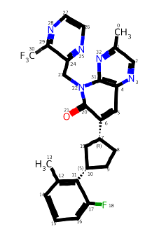 Cc1cnc2cc([C@@H]3CC[C@H](c4c(C)cccc4F)C3)c(=O)n(Cc3nccnc3C(F)(F)F)c2n1